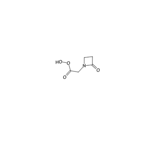 O=C(CN1CCC1=O)OO